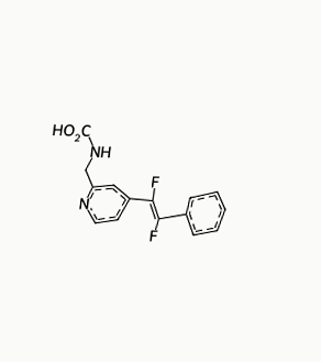 O=C(O)NCc1cc(/C(F)=C(\F)c2ccccc2)ccn1